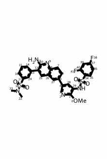 COc1ncc(-c2ccc3nc(N)c(-c4cccc(S(=O)(=O)N(C)C)c4)cc3c2)cc1NS(=O)(=O)c1ccc(F)cc1F